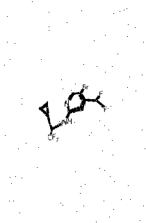 FC(F)c1cc(N[C@H](C2CC2)C(F)(F)F)ncc1Br